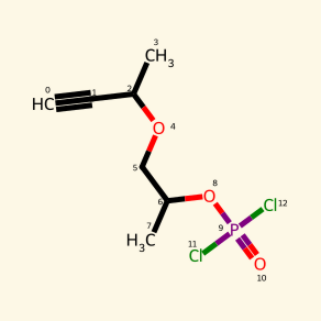 C#CC(C)OCC(C)OP(=O)(Cl)Cl